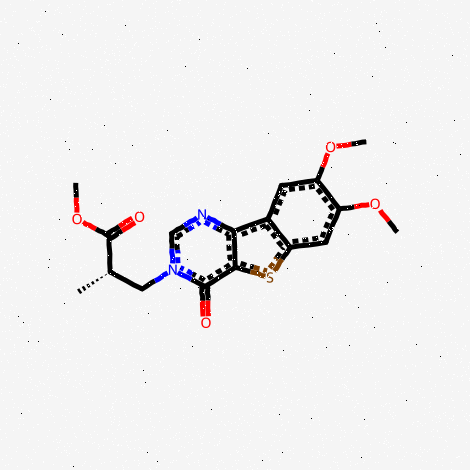 COC(=O)[C@@H](C)Cn1cnc2c(sc3cc(OC)c(OC)cc32)c1=O